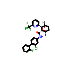 O=C(Nc1ccc(-c2ccccc2F)c(Cl)c1)[C@@H]1[C@@H](c2cccc(C(F)(F)F)n2)[C@@H]2CC[C@H]1O2